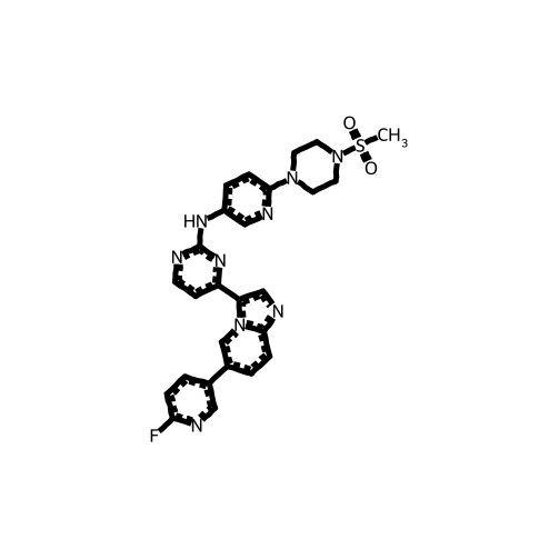 CS(=O)(=O)N1CCN(c2ccc(Nc3nccc(-c4cnc5ccc(-c6ccc(F)nc6)cn45)n3)cn2)CC1